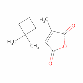 CC1(C)CCC1.CC1=CC(=O)OC1=O